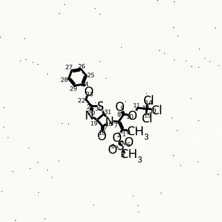 CC(OS(C)(=O)=O)=C(C(=O)OCC(Cl)(Cl)Cl)N1C(=O)C2N=C(COc3ccccc3)SC21